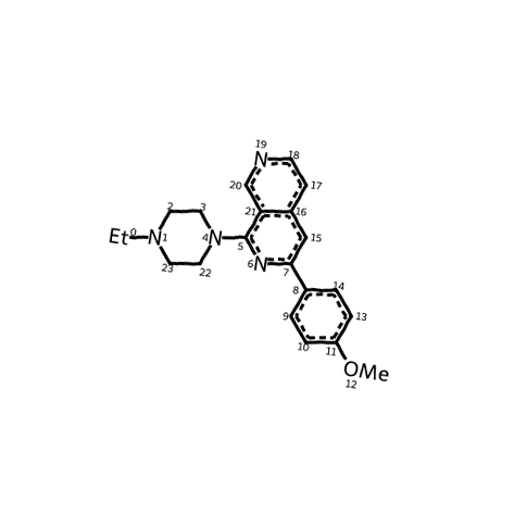 CCN1CCN(c2nc(-c3ccc(OC)cc3)cc3ccncc23)CC1